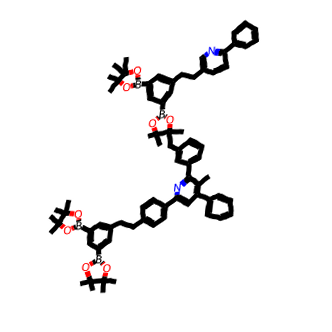 Cc1c(-c2ccccc2)cc(-c2ccc(CCc3cc(B4OC(C)(C)C(C)(C)O4)cc(B4OC(C)(C)C(C)(C)O4)c3)cc2)nc1-c1cccc(CC2(C)OB(c3cc(CCc4ccc(-c5ccccc5)nc4)cc(B4OC(C)(C)C(C)(C)O4)c3)OC2(C)C)c1